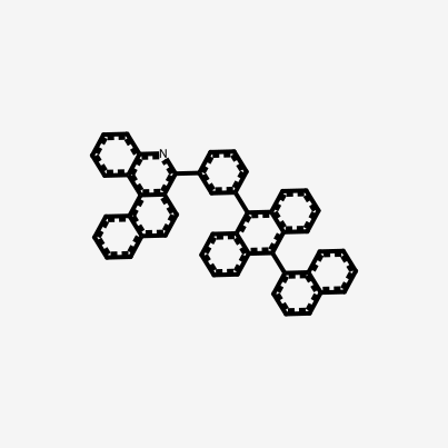 c1cc(-c2c3ccccc3c(-c3cccc4ccccc34)c3ccccc23)cc(-c2nc3ccccc3c3c2ccc2ccccc23)c1